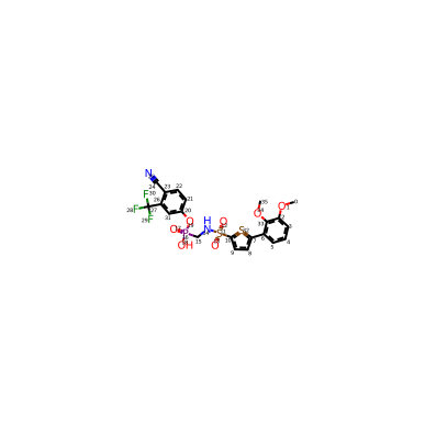 COc1cccc(-c2ccc(S(=O)(=O)NCP(=O)(O)Oc3ccc(C#N)c(C(F)(F)F)c3)s2)c1OC